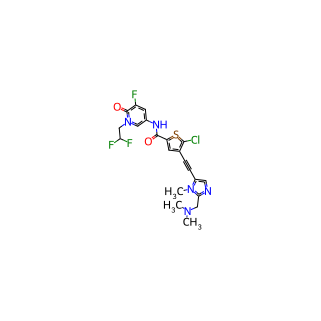 CN(C)Cc1ncc(C#Cc2cc(C(=O)Nc3cc(F)c(=O)n(CC(F)F)c3)sc2Cl)n1C